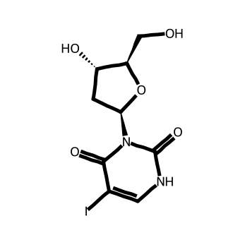 O=c1[nH]cc(I)c(=O)n1[C@H]1C[C@H](O)[C@@H](CO)O1